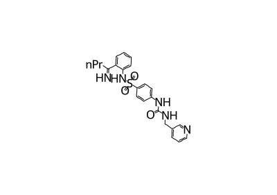 CCCC(=N)c1ccccc1NS(=O)(=O)c1ccc(NC(=O)NCc2cccnc2)cc1